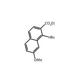 CCCCc1c(C(=O)OCC)ccc2ccc(OC)cc12